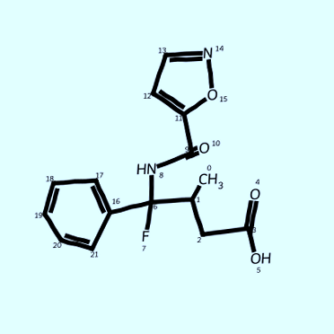 CC(CC(=O)O)C(F)(NC(=O)c1ccno1)c1ccccc1